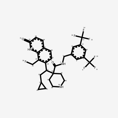 O=C(NCc1cc(C(F)(F)F)cc(C(F)(F)F)c1)C1(C(CC2CC2)c2ccc3ccc(=O)[nH]c3c2CF)CCNCC1